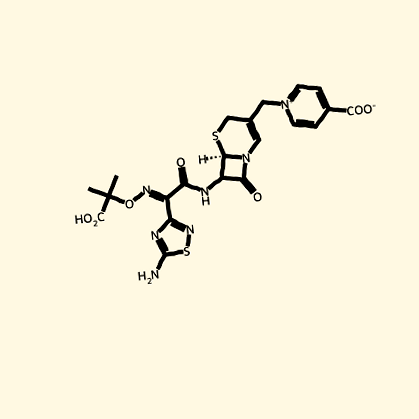 CC(C)(O/N=C(/C(=O)NC1C(=O)N2C=C(C[n+]3ccc(C(=O)[O-])cc3)CS[C@H]12)c1nsc(N)n1)C(=O)O